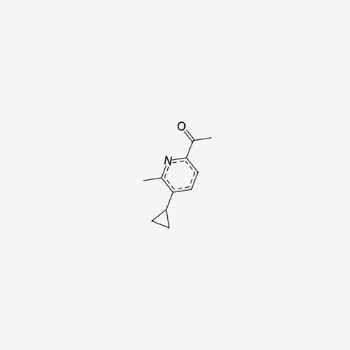 CC(=O)c1ccc(C2CC2)c(C)n1